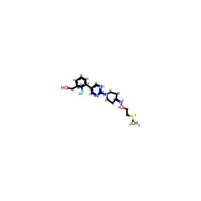 CSCCON=C1CCN(c2ncc(-c3cccc(CO)c3F)cn2)CC1